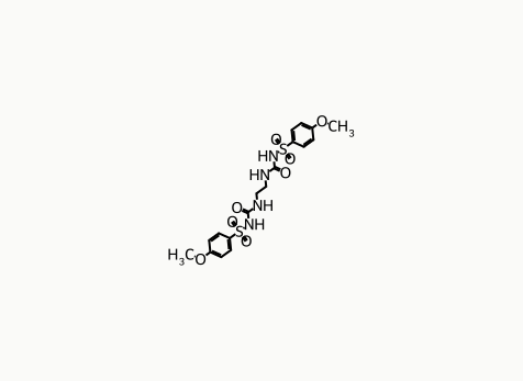 COc1ccc(S(=O)(=O)NC(=O)NCCNC(=O)NS(=O)(=O)c2ccc(OC)cc2)cc1